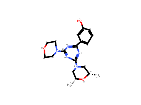 C[C@@H]1CN(c2nc(-c3cccc(O)c3)nc(N3CCOCC3)n2)C[C@H](C)O1